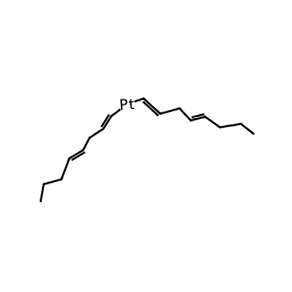 CCCC=CCC=[CH][Pt][CH]=CCC=CCCC